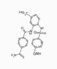 COc1ccc(S(=O)(=O)Nc2ncc(C(=O)O)cc2NC(=O)c2ccc(C(N)=S)cc2)cc1